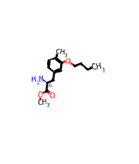 CCCCOc1cc(C[C@H](N)C(=O)OC)ccc1C